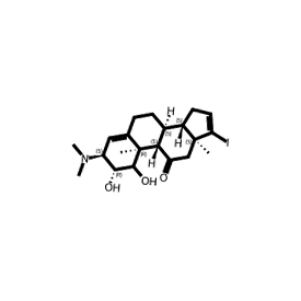 CN(C)[C@H]1C=C2CC[C@H]3[C@@H]4CC=C(I)[C@@]4(C)CC(=O)[C@@H]3[C@@]2(C)C(O)[C@@H]1O